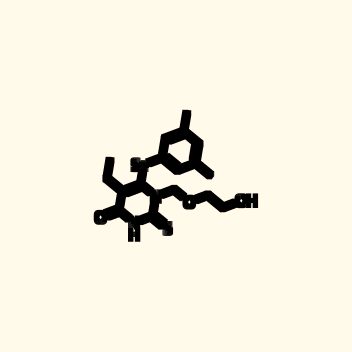 CCc1c([Se]c2cc(C)cc(C)c2)n(COCCO)c(=S)[nH]c1=O